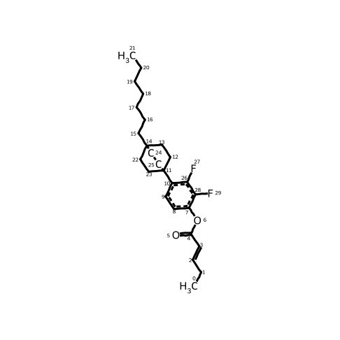 CCC=CC(=O)Oc1ccc(C23CCC(CCCCCCC)(CC2)CC3)c(F)c1F